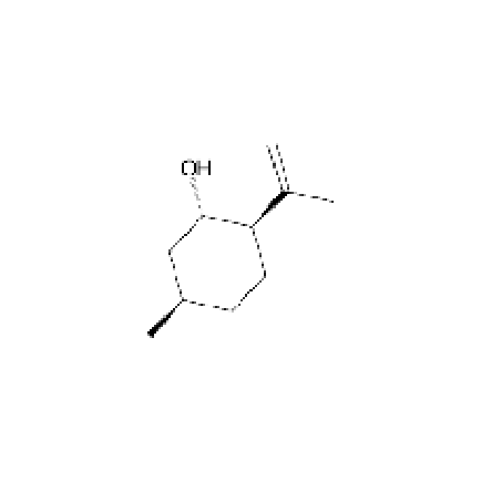 C=C(C)[C@H]1CC[C@@H](C)C[C@@H]1O